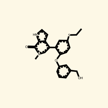 CCSc1ccc(Oc2cccc(CO)c2)c(-c2cn(C)c(=O)c3[nH]ccc23)c1